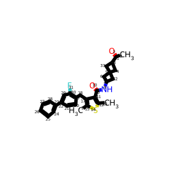 CC(=O)C1CC2(CC(NC(=O)c3c(C)sc(C)c3Cc3ccc(-c4ccccc4)cc3F)C2)C1